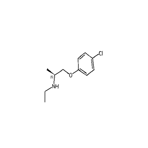 CCN[C@@H](C)COc1ccc(Cl)cc1